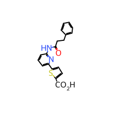 O=C(CCc1ccccc1)Nc1cccc(-c2ccc(C(=O)O)s2)n1